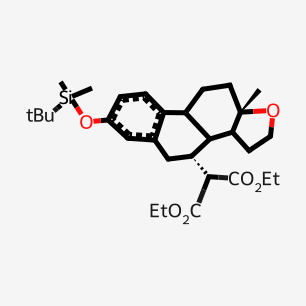 CCOC(=O)C(C(=O)OCC)[C@@H]1Cc2cc(O[Si](C)(C)C(C)(C)C)ccc2C2CC[C@]3(C)OCCC3C21